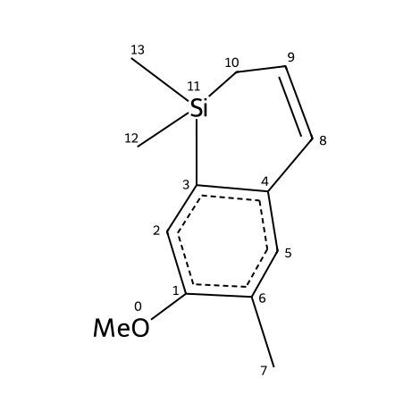 COc1cc2c(cc1C)C=CC[Si]2(C)C